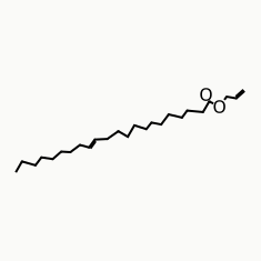 C=CCOC(=O)CCCCCCCCCCCC=CCCCCCCCC